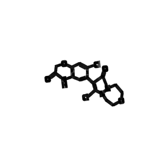 O=C1COc2cc(Cl)c(-c3c(Cl)n4n(c3=O)CCOCC4)cc2N1